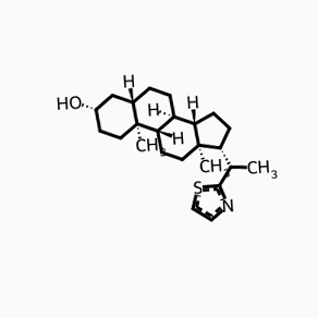 CC(c1nccs1)[C@H]1CC[C@H]2[C@@H]3CC[C@H]4C[C@@H](O)CC[C@]4(C)[C@H]3CC[C@]12C